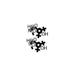 CCOP(=O)(O)C(=O)c1cc(C(C)(C)C)c(O)c(C(C)(C)C)c1.CCOP(=O)(O)C(=O)c1cc(C(C)(C)C)c(O)c(C(C)(C)C)c1.[Ni]